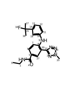 CCNC(=O)c1ccc(Nc2cccc(C(C)(C)F)c2)c(-c2nnn(C)n2)c1